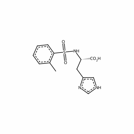 Cc1ccccc1S(=O)(=O)N[C@@H](Cc1c[nH]cn1)C(=O)O